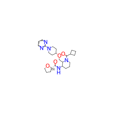 O=C(NC1CCCN(C(=O)C2CCC2)C1COC1CCN(c2ncccn2)CC1)[C@@H]1CCCO1